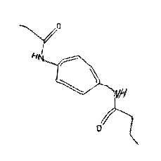 CCC(=O)Nc1ccc(NC(C)=O)cc1